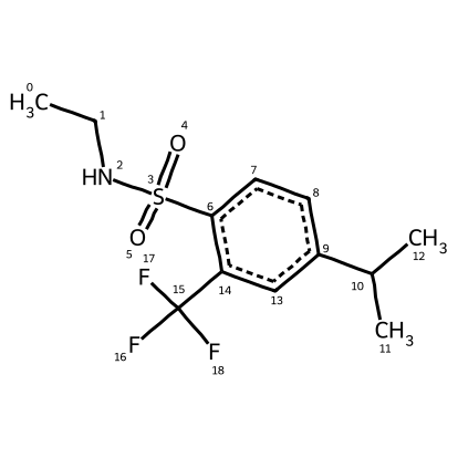 CCNS(=O)(=O)c1ccc(C(C)C)cc1C(F)(F)F